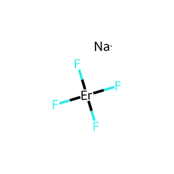 [F][Er]([F])([F])[F].[Na]